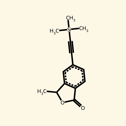 CC1OC(=O)c2ccc(C#C[Si](C)(C)C)cc21